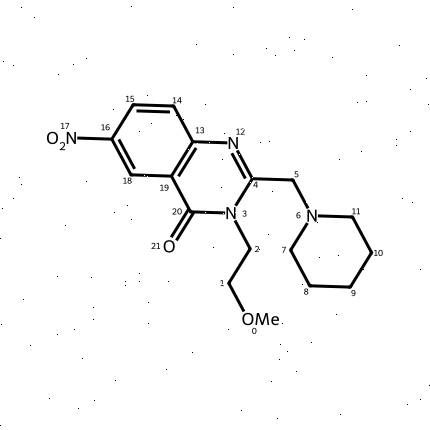 COCCn1c(CN2CCCCC2)nc2ccc([N+](=O)[O-])cc2c1=O